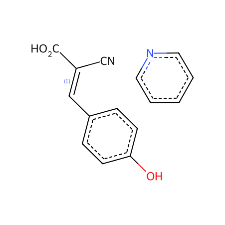 N#C/C(=C\c1ccc(O)cc1)C(=O)O.c1ccncc1